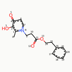 Cc1c(O)c(=O)ccn1CCC(=O)OCCc1ccccc1